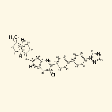 CC1CC[C@@H]2C(Cc3nc4nc(-c5ccc(-c6ccc(-n7cncn7)cc6)cc5)c(Cl)cc4[nH]3)CC[C@H]12